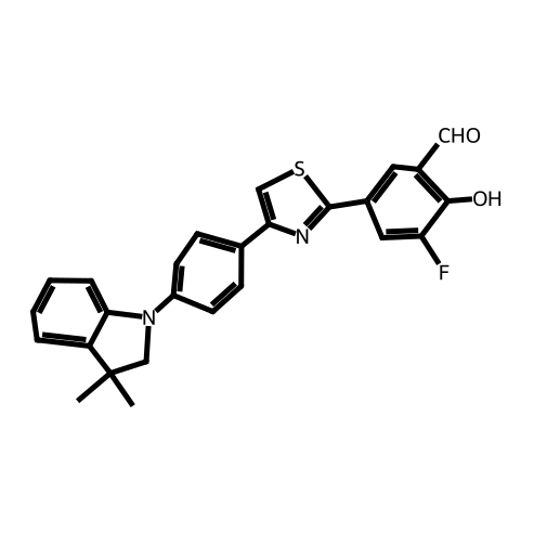 CC1(C)CN(c2ccc(-c3csc(-c4cc(F)c(O)c(C=O)c4)n3)cc2)c2ccccc21